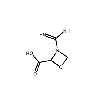 N=C(N)N1COC1C(=O)O